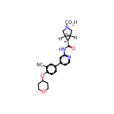 N#Cc1cc(-c2ccnc(NC(=O)[C@H]3[C@@H]4CN(C(=O)O)C[C@@H]43)c2)ccc1OC1CCOCC1